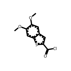 COc1cc2cc(C(=O)Cl)sc2cc1OC